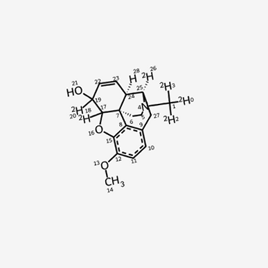 [2H]C([2H])([2H])N1CC[C@]23c4c5ccc(OC)c4OC2([2H])C([2H])(O)C=C[C@H]3[C@@]1([2H])C5